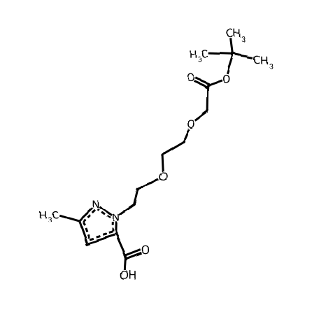 Cc1cc(C(=O)O)n(CCOCCOCC(=O)OC(C)(C)C)n1